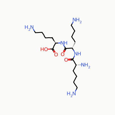 NCCCC[C@@H](N)C(=O)N[C@@H](CCCCN)C(=O)N[C@H](CCCCN)C(=O)O